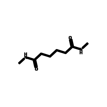 CNC(=O)CCCCC(=O)NC